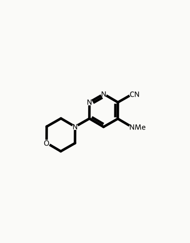 CNc1cc(N2CCOCC2)nnc1C#N